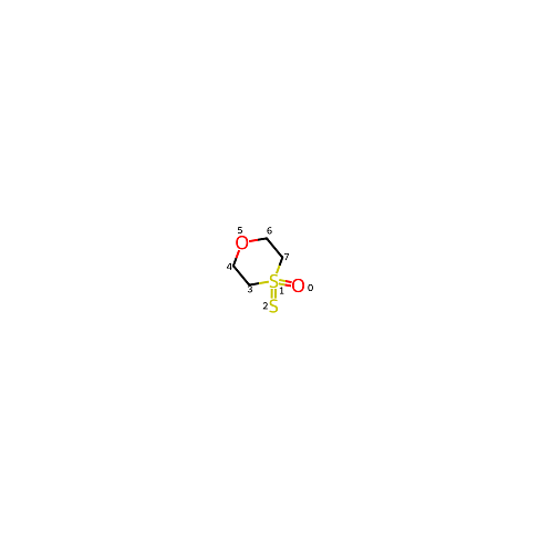 O=S1(=S)CCOCC1